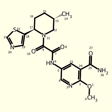 COc1ncc(NC(=O)C(=O)N2C[C@@H](C)CC[C@@H]2c2cncs2)cc1C(N)=O